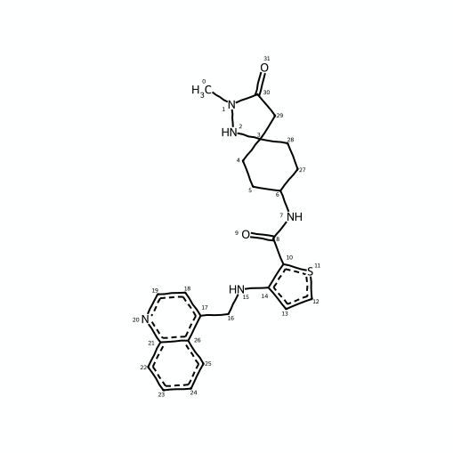 CN1NC2(CCC(NC(=O)c3sccc3NCc3ccnc4ccccc34)CC2)CC1=O